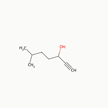 C#CC(O)CCC(C)C